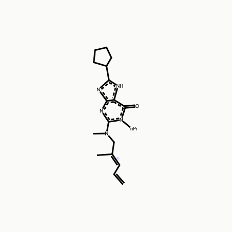 C=C/C=C(\C)CN(C)c1nc2nc(C3CCCC3)[nH]c2c(=O)n1CCC